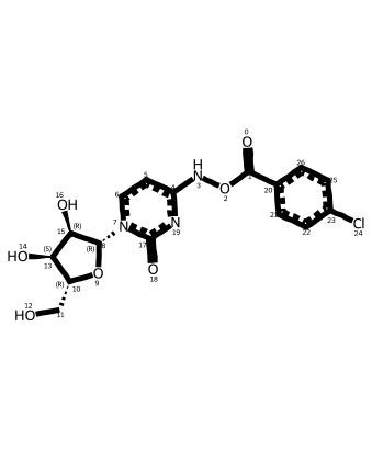 O=C(ONc1ccn([C@@H]2O[C@H](CO)[C@@H](O)[C@H]2O)c(=O)n1)c1ccc(Cl)cc1